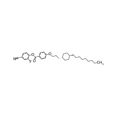 CCCCCCCCC[C@H]1CC[C@H](CCCOc2ccc(C(=O)Oc3ccc(C#N)cc3F)cc2)CC1